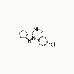 Nc1c2c(nn1-c1ccc(Cl)cc1)CCC2